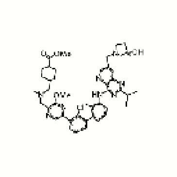 COC(=O)C1CCC(CN(C)Cc2ncc(-c3cccc(-c4cccc(Nc5nc(C(F)F)nc6cc(CN7CC[C@@H](O)C7)cnc56)c4C)c3Cl)nc2OC)CC1